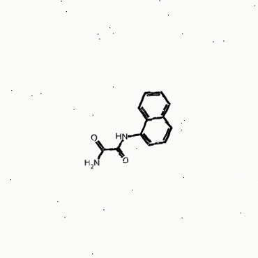 NC(=O)C(=O)Nc1cccc2ccccc12